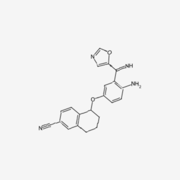 N#Cc1ccc2c(c1)CCCC2Oc1ccc(N)c(C(=N)c2cnco2)c1